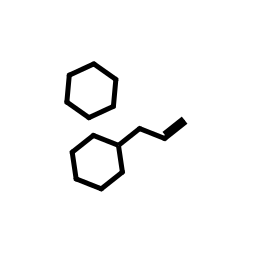 C1CCCCC1.C=CCC1CCCCC1